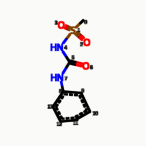 CS(=O)(=O)NC(=O)Nc1cc[c]cc1